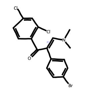 CN(C)/C=C(/C(=O)c1ccc(Cl)cc1Cl)c1ccc(Br)cc1